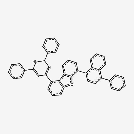 c1ccc(C2=NC(c3cccc4oc5c(-c6ccc(-c7ccccc7)c7ccccc67)cccc5c34)=NC(c3ccccc3)N2)cc1